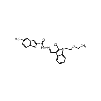 CCOCCn1c(Cl)c(C=NNC(=O)c2cc3cc(C)ccc3o2)c2ccccc21